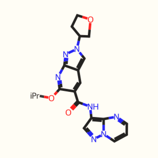 CC(C)Oc1nc2nn(C3CCOC3)cc2cc1C(=O)Nc1cnn2cccnc12